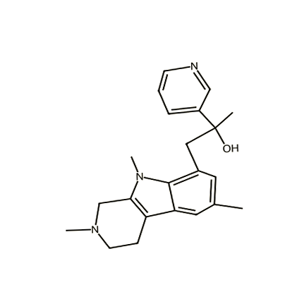 Cc1cc(CC(C)(O)c2cccnc2)c2c(c1)c1c(n2C)CN(C)CC1